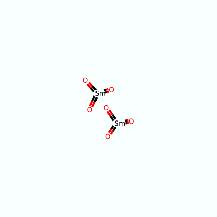 [O]=[Sm](=[O])=[O].[O]=[Sm](=[O])=[O]